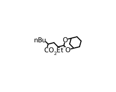 [CH2]CCCC(CC[C]1OC2CCCC(C2)O1)C(=O)OCC